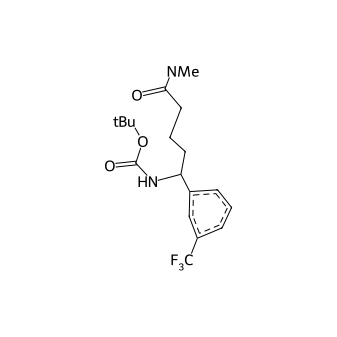 CNC(=O)CCCC(NC(=O)OC(C)(C)C)c1cccc(C(F)(F)F)c1